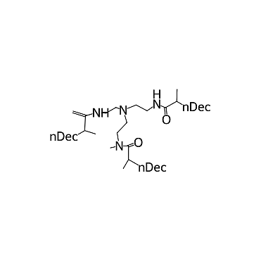 C=C(NCCN(CCNC(=O)C(C)CCCCCCCCCC)CCN(C)C(=O)C(C)CCCCCCCCCC)C(C)CCCCCCCCCC